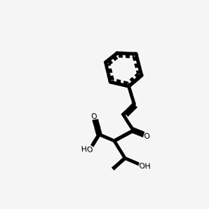 CC(O)C(C(=O)O)C(=O)/C=C/c1ccccc1